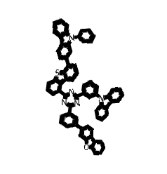 c1ccc(-n2c3ccccc3c3ccc(-c4cccc5c4sc4cccc(-c6nc(-c7cccc(-c8ccc9c(c8)oc8ccccc89)c7)nc(-c7cccc(-n8c9ccccc9c9ccccc98)c7)n6)c45)cc32)cc1